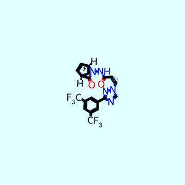 O=C(/C=C\n1cnc(-c2cc(C(F)(F)F)cc(C(F)(F)F)c2)n1)NN1C(=O)[C@@H]2C=C[C@H]1C2